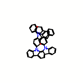 c1ccc(-n2c3ccccc3c3cc(-n4c5ccccc5c5ccc6c7ccccc7n(-c7ccc8c9ccccc9c9ccccc9c8c7)c6c54)ccc32)cc1